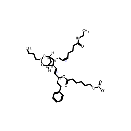 CCCCB1O[C@H]2C[C@@H](O1)[C@H](/C=C/[C@H](CCc1ccccc1)OC(=O)CCCCCO[N+](=O)[O-])[C@H]2C/C=C\CCCC(=O)NCC